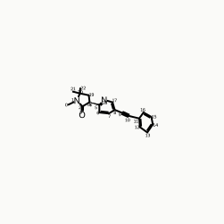 CN1C(=O)[C@H](c2ccc(C#Cc3ccccc3)cn2)CC1(C)C